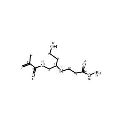 C=C(C)C(=O)NCC(CCO)NCCC(=O)OC(C)(C)C